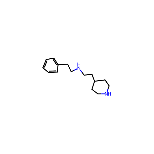 c1ccc(CCNCCC2CCNCC2)cc1